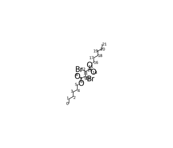 CCCCCCOC(=O)C(Br)C(Br)C(=O)OCCCCCC